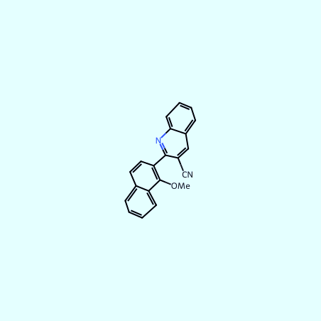 COc1c(-c2nc3ccccc3cc2C#N)ccc2ccccc12